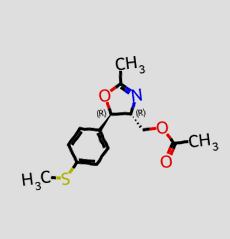 CSc1ccc([C@H]2OC(C)=N[C@@H]2COC(C)=O)cc1